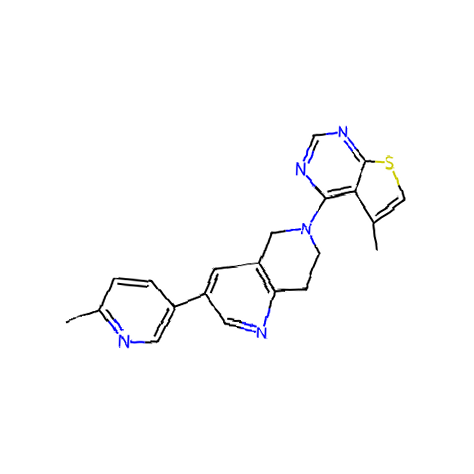 Cc1ccc(-c2cnc3c(c2)CN(c2ncnc4scc(C)c24)CC3)cn1